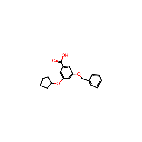 O=C(O)c1cc(OCc2ccccc2)cc(OC2CCCC2)c1